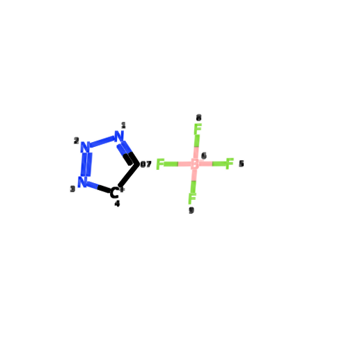 C1=NN=N[CH+]1.F[B-](F)(F)F